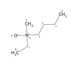 CCCC[N+](C)([O-])CC